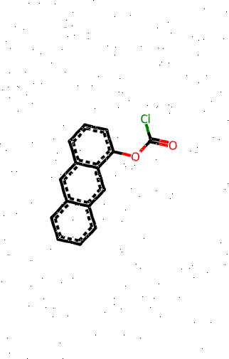 O=C(Cl)Oc1cccc2cc3ccccc3cc12